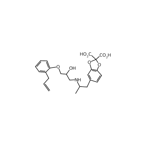 C=CCc1ccccc1OCC(O)CNC(C)Cc1ccc2c(c1)OC(C(=O)O)(C(=O)O)O2